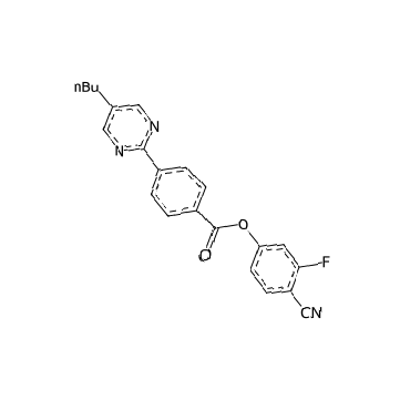 CCCCc1cnc(-c2ccc(C(=O)Oc3ccc(C#N)c(F)c3)cc2)nc1